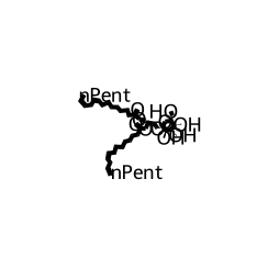 CCCCC/C=C\C/C=C\CCCCCCCC(=O)OC[C@H](CO[C@@H]1O[C@H](CO)[C@H](O)[C@H](O)[C@H]1O)OC(=O)CCCCCCC/C=C\C/C=C\CCCCC